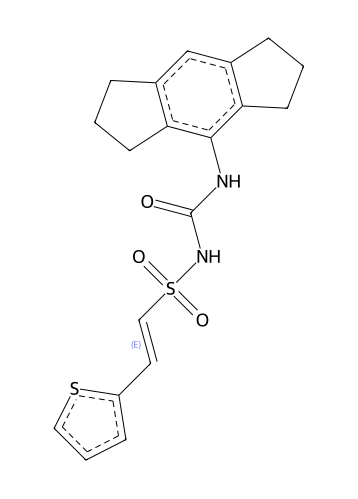 O=C(Nc1c2c(cc3c1CCC3)CCC2)NS(=O)(=O)/C=C/c1cccs1